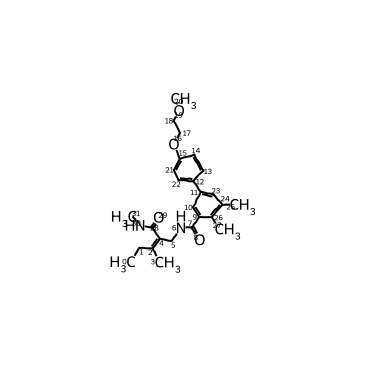 CC/C(C)=C(/CNC(=O)c1cc(-c2ccc(OCCOC)cc2)cc(C)c1C)C(=O)NC